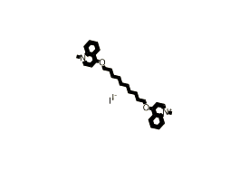 C[n+]1ccc(OCCCCCCCCCCOc2cc[n+](C)c3ccccc23)c2ccccc21.[I-].[I-]